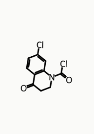 O=C1CCN(C(=O)Cl)c2cc(Cl)ccc21